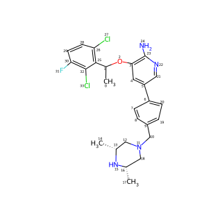 CC(Oc1cc(-c2ccc(CN3C[C@@H](C)N[C@@H](C)C3)cc2)cnc1N)c1c(Cl)ccc(F)c1Cl